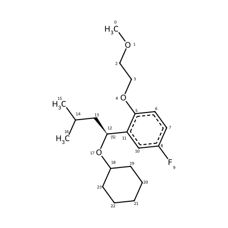 COCCOc1ccc(F)cc1[C@H](CC(C)C)OC1CCCCC1